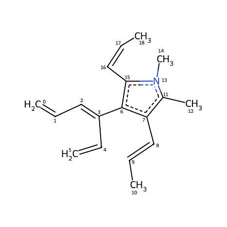 C=C/C=C(\C=C)c1c(/C=C/C)c(C)n(C)c1/C=C\C